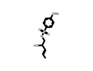 C/C=C/C(O)C[N]S(=O)(=O)c1ccc(OC)cc1